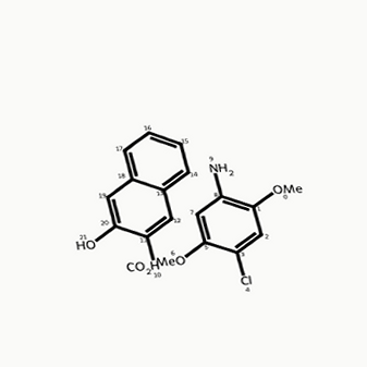 COc1cc(Cl)c(OC)cc1N.O=C(O)c1cc2ccccc2cc1O